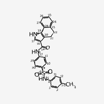 Cc1ccc(NS(=O)(=O)c2ccc(NC(=O)c3c[nH]c4c3CCc3ccccc3-4)cc2)cc1